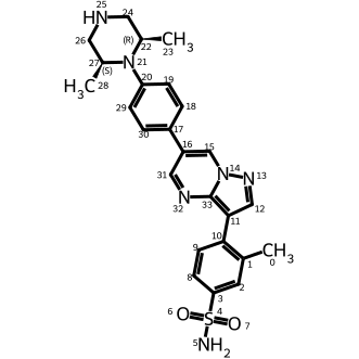 Cc1cc(S(N)(=O)=O)ccc1-c1cnn2cc(-c3ccc(N4[C@H](C)CNC[C@@H]4C)cc3)cnc12